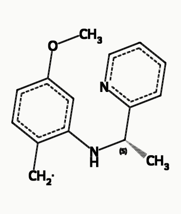 [CH2]c1ccc(OC)cc1N[C@@H](C)c1ccccn1